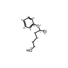 CCC(CCCCO)Oc1ccccc1